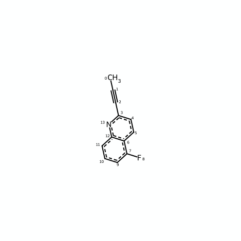 CC#Cc1ccc2c(F)cccc2n1